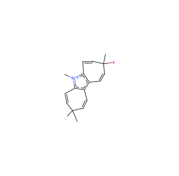 Cn1c2c(c3c1C=CC(C)(I)C=C3)C=CC(C)(C)C=C2